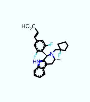 C[C@@H]1Cc2c([nH]c3ccccc23)[C@@H](c2c(F)cc(/C=C/C(=O)O)cc2F)N1CC1(F)CCCC1